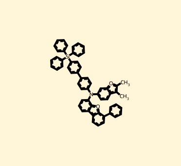 Cc1oc2cc(N(c3ccc(-c4ccc([Si](c5ccccc5)(c5ccccc5)c5ccccc5)cc4)cc3)c3cccc4c3oc3c(-c5ccccc5)cccc34)ccc2c1C